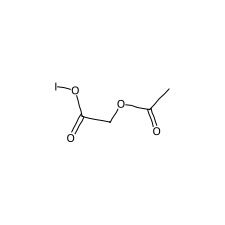 CC(=O)OCC(=O)OI